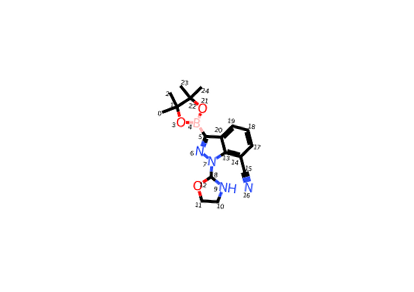 CC1(C)OB(c2nn(C3NCCO3)c3c(C#N)cccc23)OC1(C)C